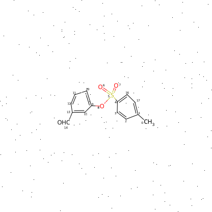 Cc1ccc(S(=O)(=O)Oc2cccc(C=O)c2)cc1